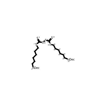 CCCCCCCCCCCCCCCCSC(=S)SSC(=S)SCCCCCCCCCCCCCCCC